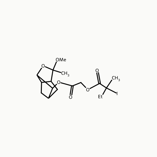 CCC(C)(I)C(=O)OCC(=O)OC1C2CC3C1OC(C)(OC)C3C2